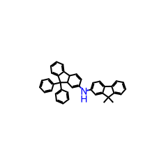 CC1(C)c2ccccc2-c2ccc(NC3=CC4C(C=C3)c3ccccc3C4(c3ccccc3)c3ccccc3)cc21